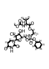 COC(=O)N[C@H](C(=O)OC[C@H](C)NP(=O)(OC[C@H]1O[C@@H](n2ccc(=O)[nH]c2=O)[C@@H](Cl)[C@@H]1O)Oc1ccccc1)C(C)C